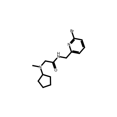 CN(CC(=O)NCc1cccc(Br)n1)C1CCCC1